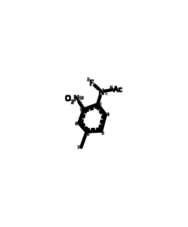 CC(=O)N(F)c1ccc(C)cc1[N+](=O)[O-]